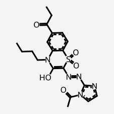 CCCCN1C(O)=C(N=Nc2nccn2C(C)=O)S(=O)(=O)c2ccc(C(=O)CC)cc21